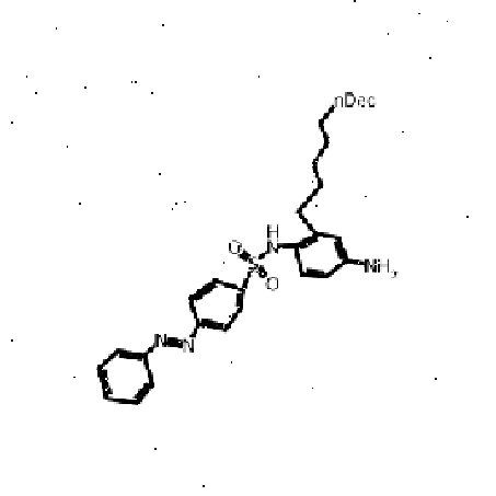 CCCCCCCCCCCCCCCc1cc(N)ccc1NS(=O)(=O)c1ccc(/N=N/c2ccccc2)cc1